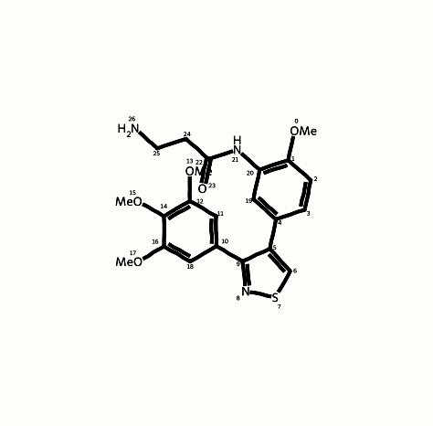 COc1ccc(-c2csnc2-c2cc(OC)c(OC)c(OC)c2)cc1NC(=O)CCN